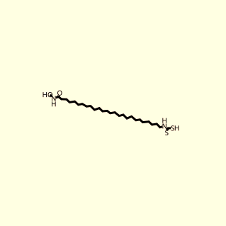 O=C(CCCCCCCCCCCCCCCCCCCCCCCCCNC(=S)S)NO